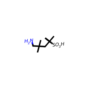 CC(C)(CN)CC(C)(C)S(=O)(=O)O